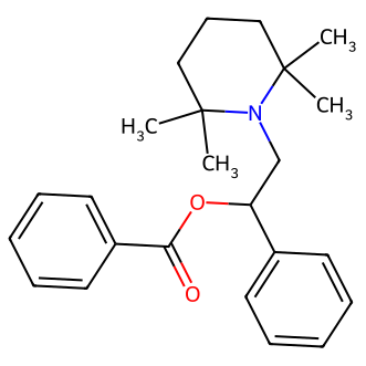 CC1(C)CCCC(C)(C)N1CC(OC(=O)c1ccccc1)c1ccccc1